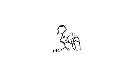 CC1N(c2ccccc2)C=C(C(=O)O)N1C12CC3CC(CC(C3)C1)C2